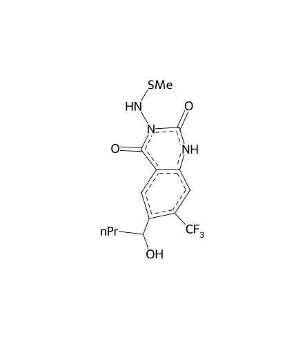 CCCC(O)c1cc2c(=O)n(NSC)c(=O)[nH]c2cc1C(F)(F)F